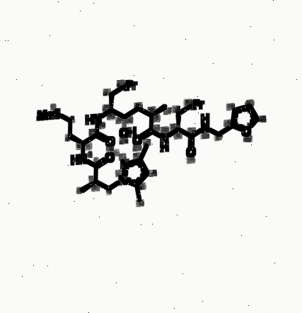 CSCC[C@H](NC(=O)[C@H](C)Cn1nc(C)cc1C)C(=O)N[C@@H](CC(C)C)[C@@H](O)C[C@@H](C)C(=O)N[C@@H](CC(C)C)C(=O)NCc1ccco1